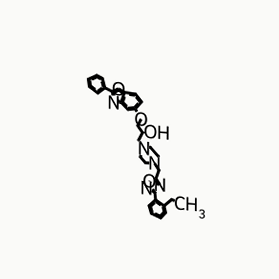 CCc1ccccc1-c1noc(CN2CCN(C[C@@H](O)COc3ccc4oc(-c5ccccc5)nc4c3)CC2)n1